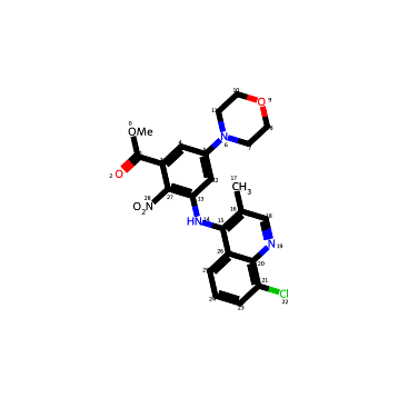 COC(=O)c1cc(N2CCOCC2)cc(Nc2c(C)cnc3c(Cl)cccc23)c1[N+](=O)[O-]